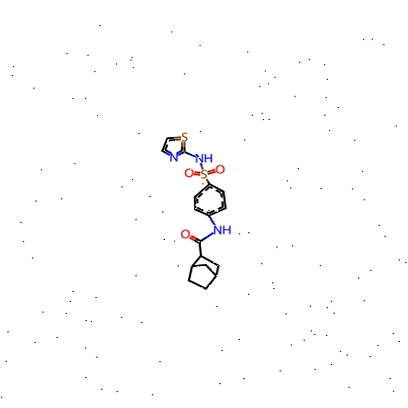 O=C(Nc1ccc(S(=O)(=O)Nc2nccs2)cc1)C1CC2CCC1C2